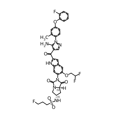 Cc1cc(Oc2ccccc2F)ccc1-n1ncc(C(=O)c2cc3cc(OCC(F)F)c(N4C(=O)[C@@H]5C[C@H](NS(=O)(=O)CCCF)CN5C4=O)cc3[nH]2)c1N